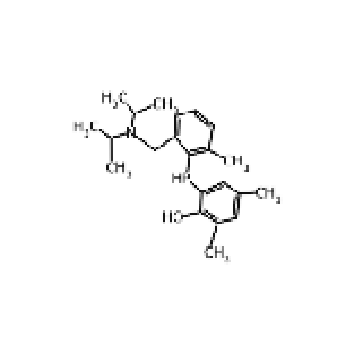 Cc1cc(C)c(O)c(Pc2c(C)cccc2CN(C(C)C)C(C)C)c1